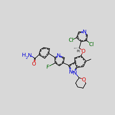 Cc1cc2c(cc1O[C@H](C)c1c(Cl)cncc1Cl)c(-c1cnc(-c3cccc(C(N)=O)c3)c(F)c1)nn2C1CCCCO1